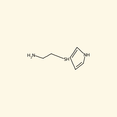 NCCS.c1cc[nH]c1